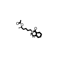 CC(=O)O[C@H](C)CCCCn1nnc2ccccc2c1=O